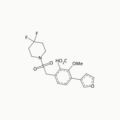 COc1c(-c2ccoc2)ccc(CS(=O)(=O)N2CCC(F)(F)CC2)c1C(=O)O